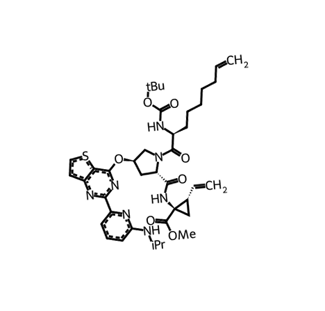 C=CCCCCC[C@H](NC(=O)OC(C)(C)C)C(=O)N1C[C@H](Oc2nc(-c3cccc(NC(C)C)n3)nc3ccsc23)C[C@H]1C(=O)N[C@]1(C(=O)OC)C[C@H]1C=C